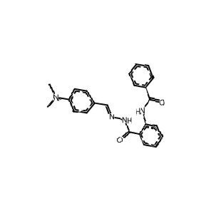 CN(C)c1ccc(C=NNC(=O)c2ccccc2NC(=O)c2ccccc2)cc1